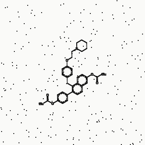 CC(C)(C)C(=O)Oc1ccc(-c2ccc3cc(OC(=O)C(C)(C)C)ccc3c2Cc2ccc(OCCN3CCCCC3)cc2)cc1